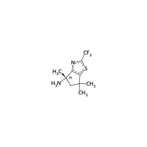 CC1(C)C[C@](C)(N)c2nc(C(F)(F)F)sc21